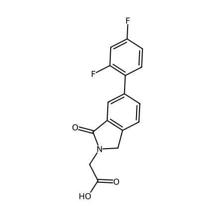 O=C(O)CN1Cc2ccc(-c3ccc(F)cc3F)cc2C1=O